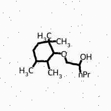 CCCC(O)COC1C(C)C(C)CCC1(C)C